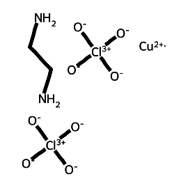 NCCN.[Cu+2].[O-][Cl+3]([O-])([O-])[O-].[O-][Cl+3]([O-])([O-])[O-]